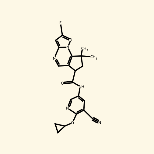 CC1(C)CC(C(=O)Nc2cnc(OC3CC3)c(C#N)c2)c2cnc3cc(F)nn3c21